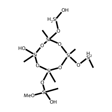 CO[Si](C)(O)O[Si]1(C)O[Si](C)(O)O[Si](C)(O[SiH2]O)O[Si](C)(O[SiH2]C)O1